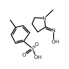 CN1CCC/C1=N\O.Cc1ccc(S(=O)(=O)O)cc1